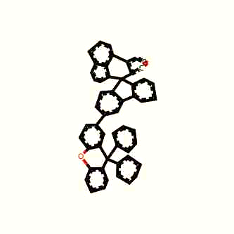 c1ccc(C2(c3ccccc3)c3ccccc3Oc3ccc(-c4ccc5c(c4)-c4ccccc4C54c5ccccc5-c5cccc6cccc4c56)cc32)cc1